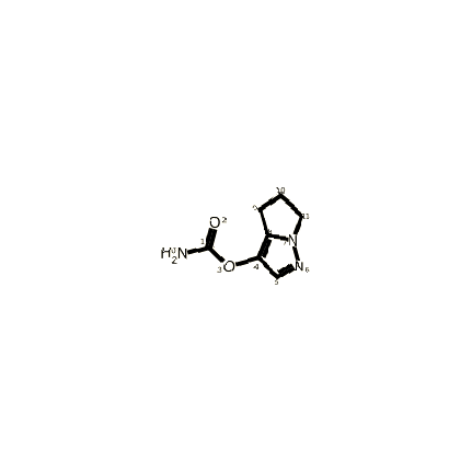 NC(=O)Oc1cnn2c1CCC2